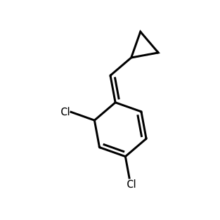 ClC1=CC(Cl)C(=CC2CC2)C=C1